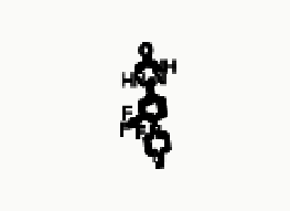 CN1CCN(c2ccc(C3=NNC(=O)CN3)cc2C(F)(F)F)CC1